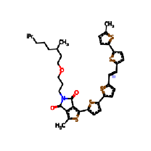 Cc1ccc(-c2ccc(/C=C/c3ccc(-c4ccc(-c5sc(C)c6c5C(=O)N(CCCOCCC(C)CCCC(C)C)C6=O)s4)s3)s2)s1